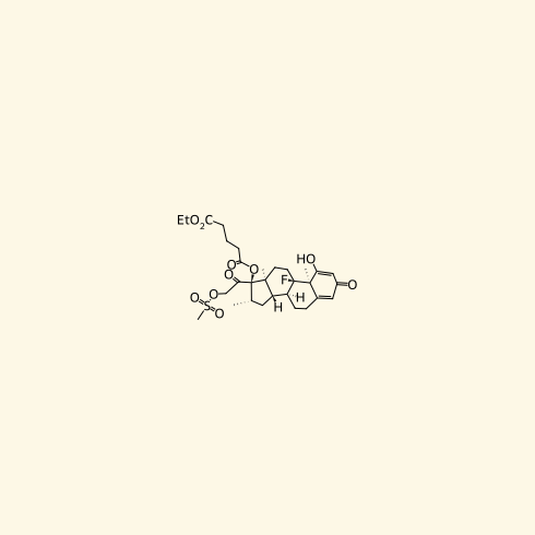 CCOC(=O)CCCC(=O)O[C@]1(C(=O)COS(C)(=O)=O)[C@@H](C)C[C@H]2[C@@H]3CCC4=CC(=O)C=C(O)[C@]4(C)[C@@]3(F)CC[C@@]21C